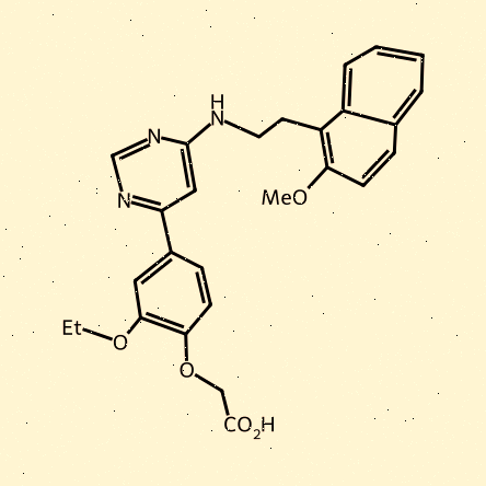 CCOc1cc(-c2cc(NCCc3c(OC)ccc4ccccc34)ncn2)ccc1OCC(=O)O